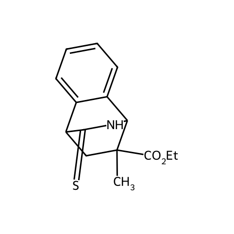 CCOC(=O)C1(C)CC2C(=S)NC1c1ccccc12